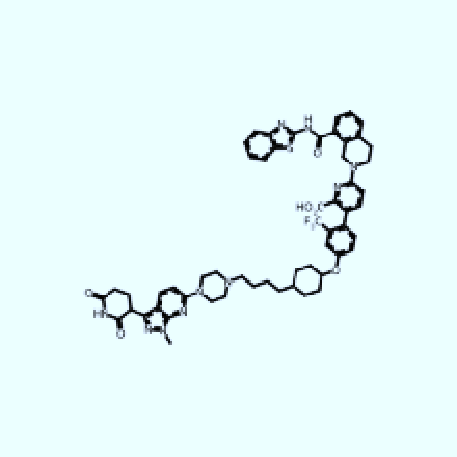 Cn1nc(C2CCC(=O)NC2=O)c2ccc(N3CCN(CCCCC4CCC(Oc5ccc(-c6ccc(N7CCc8cccc(C(=O)Nc9nc%10ccccc%10s9)c8C7)nc6C(=O)O)c(C(F)(F)F)c5)CC4)CC3)nc21